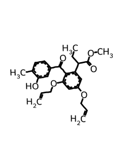 C=CCOc1cc(OCC=C)c(C(=O)c2ccc(C)c(O)c2)c(C(CC)C(=O)OC)c1